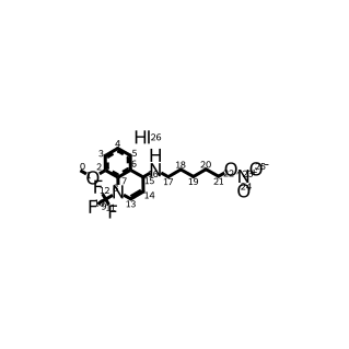 COc1cccc2c1N(C(F)(F)F)C=CC2NCCCCCO[N+](=O)[O-].I